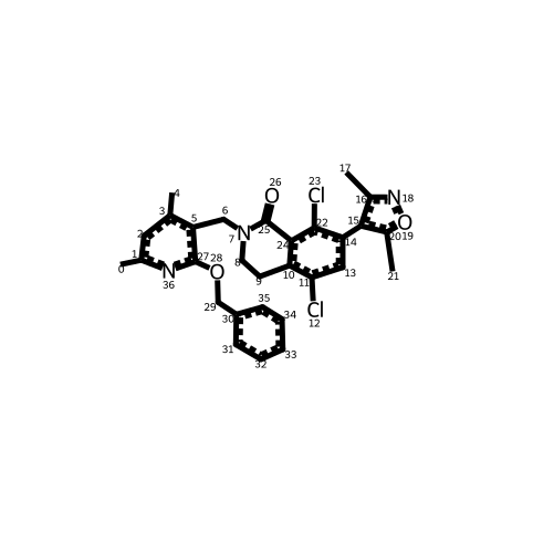 Cc1cc(C)c(CN2CCc3c(Cl)cc(-c4c(C)noc4C)c(Cl)c3C2=O)c(OCc2ccccc2)n1